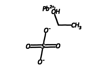 CCO.O=S(=O)([O-])[O-].[Pb+2]